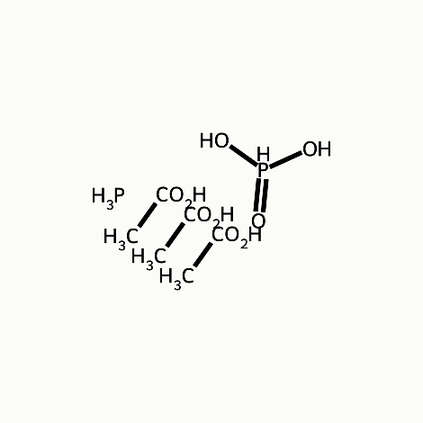 CC(=O)O.CC(=O)O.CC(=O)O.O=[PH](O)O.P